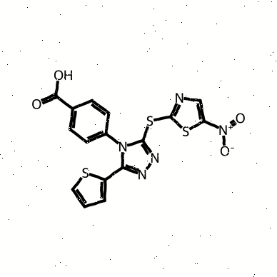 O=C(O)c1ccc(-n2c(Sc3ncc([N+](=O)[O-])s3)nnc2-c2cccs2)cc1